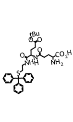 CC(C)(C)OC(=O)CCC(NC(=O)CCC(N)C(=O)O)C(=O)NCCSC(c1ccccc1)(c1ccccc1)c1ccccc1